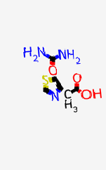 CC(=O)O.NC(N)=O.c1cscn1